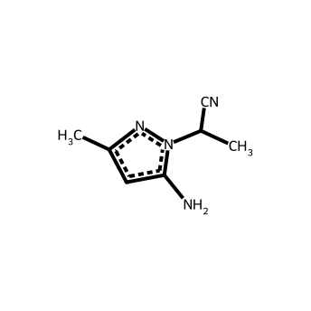 Cc1cc(N)n(C(C)C#N)n1